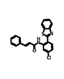 O=C(/C=C/c1ccccc1)Nc1cc(Cl)ccc1-c1nc2ccccc2s1